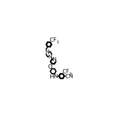 N#Cc1ccc(N[C@H]2CC[C@H](Oc3ccnc(N4CCN(Cc5ccc(C(F)(F)F)cc5)CC4)c3)CC2)cc1C(F)(F)F